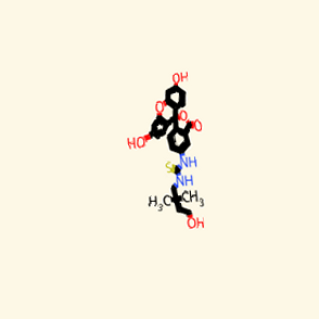 CC(C)(CCO)CNC(=S)Nc1ccc2c(c1)C(=O)OC21c2ccc(O)cc2Oc2cc(O)ccc21